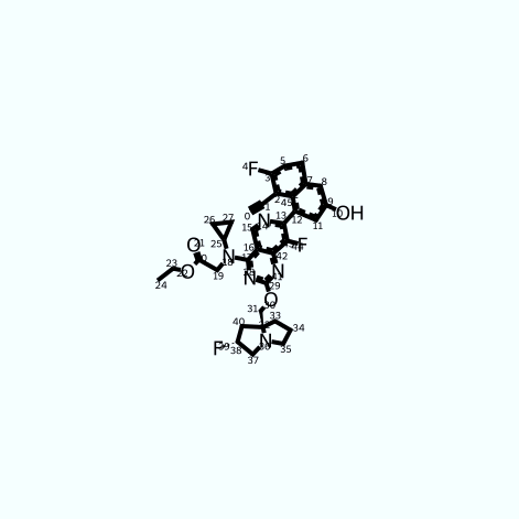 C#Cc1c(F)ccc2cc(O)cc(-c3ncc4c(N(CC(=O)OCC)C5CC5)nc(OC[C@@]56CCCN5C[C@H](F)C6)nc4c3F)c12